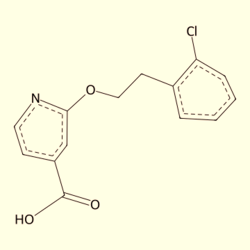 O=C(O)c1ccnc(OCCc2ccccc2Cl)c1